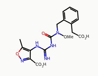 CON(Cc1ccccc1CC(=O)O)C(=O)NC(=N)Nc1c(C(=O)O)noc1C